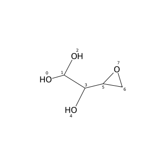 OC(O)C(O)C1CO1